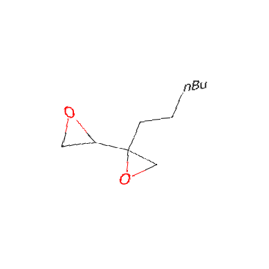 CCCCCCC1(C2CO2)CO1